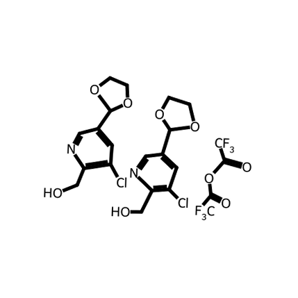 O=C(OC(=O)C(F)(F)F)C(F)(F)F.OCc1ncc(C2OCCO2)cc1Cl.OCc1ncc(C2OCCO2)cc1Cl